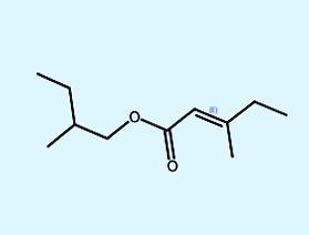 CC/C(C)=C/C(=O)OCC(C)CC